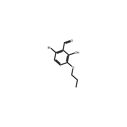 CCCOc1ccc(Br)c(C=O)c1O